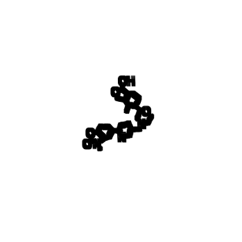 Cc1c([C@@H]2CN(Cc3ccc(-c4ccc5oc(=O)n(C)c5c4)nc3)CCO2)ccc2c1COC2O